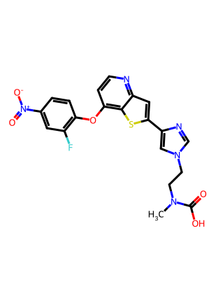 CN(CCn1cnc(-c2cc3nccc(Oc4ccc([N+](=O)[O-])cc4F)c3s2)c1)C(=O)O